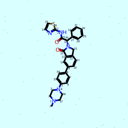 CN1CCN(c2ccc(-c3ccc4c(c3)C(=O)N([C@@H](C(=O)Nc3nccs3)c3ccccc3)C4)cc2)CC1